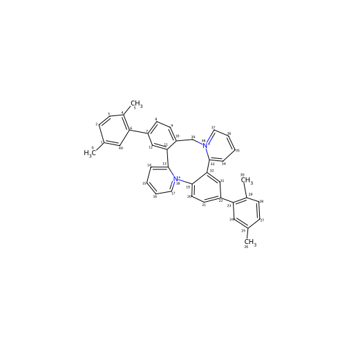 Cc1ccc(C)c(-c2ccc3c(c2)-c2cccc[n+]2-c2ccc(-c4cc(C)ccc4C)cc2-c2cccc[n+]2C3)c1